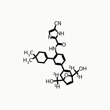 [2H]C([2H])(O)C12C=CC(C([2H])([2H])O)(CC(c3ccc(NC(=O)c4ncc(C#N)[nH]4)c(C4=CCC(C)(C)CC4)c3)=C1)O2